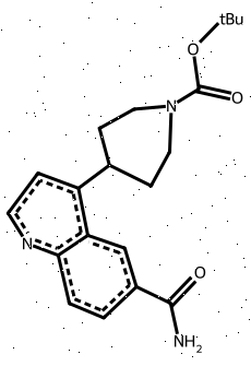 CC(C)(C)OC(=O)N1CCC(c2ccnc3ccc(C(N)=O)cc23)CC1